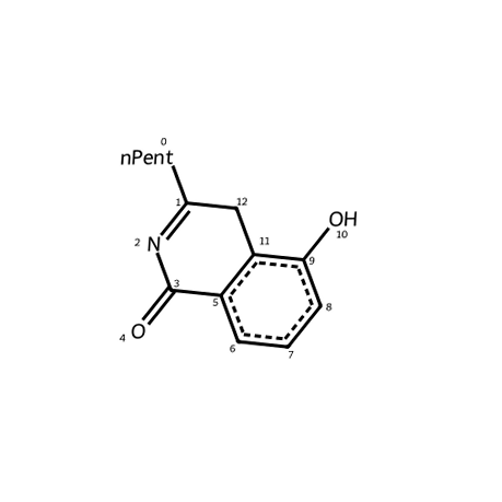 CCCCCC1=NC(=O)c2cccc(O)c2C1